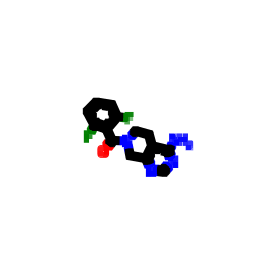 Nc1ncnc2c1CCN(C(=O)c1c(F)cccc1F)C2